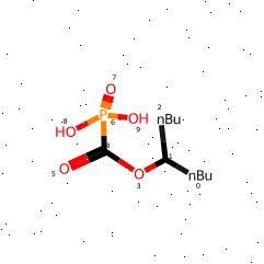 CCCCC(CCCC)OC(=O)P(=O)(O)O